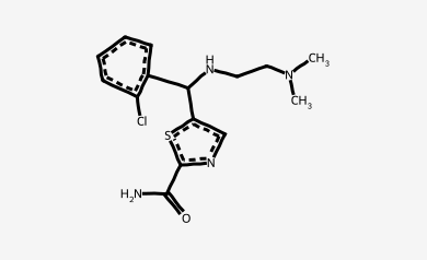 CN(C)CCNC(c1cnc(C(N)=O)s1)c1ccccc1Cl